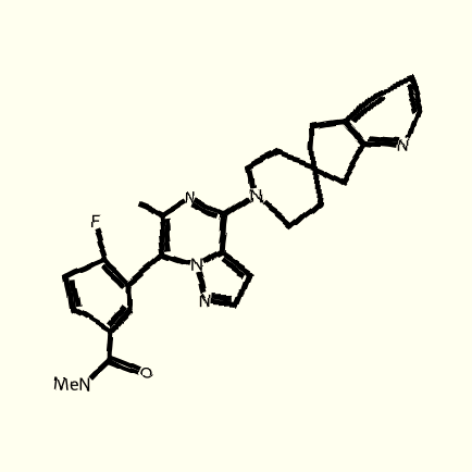 CNC(=O)c1ccc(F)c(-c2c(C)nc(N3CCC4(CC3)Cc3cccnc3C4)c3ccnn23)c1